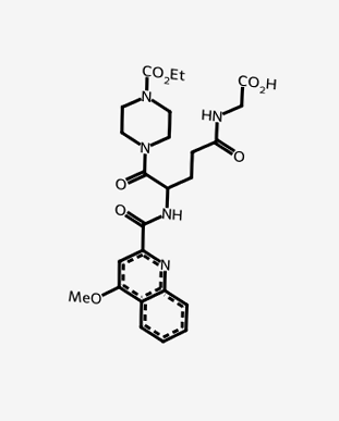 CCOC(=O)N1CCN(C(=O)C(CCC(=O)NCC(=O)O)NC(=O)c2cc(OC)c3ccccc3n2)CC1